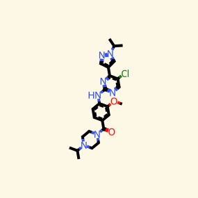 COc1cc(C(=O)N2CCN(C(C)C)CC2)ccc1Nc1ncc(Cl)c(-c2cnn(C(C)C)c2)n1